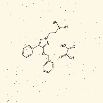 CC(C)N(CCn1cc(-c2ccccc2)c(OCc2ccccc2)n1)C(C)C.O=C(O)C(=O)O